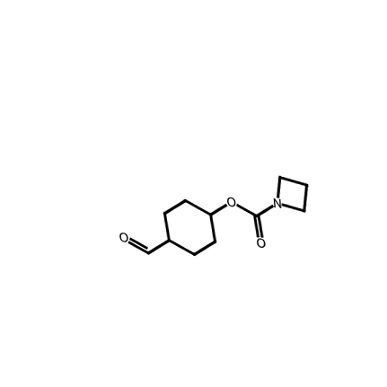 O=CC1CCC(OC(=O)N2CCC2)CC1